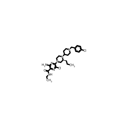 CCC[C@H]1CN(c2nc(N)c(C(=O)NCC)nc2Cl)CCN1C1CCN(Cc2ccc(Cl)cc2)CC1